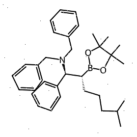 CC(C)CCC[C@@H](B1OC(C)(C)C(C)(C)O1)[C@@H](c1ccccc1)N(Cc1ccccc1)Cc1ccccc1